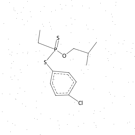 CCP(=S)(OCC(C)C)Sc1ccc(Cl)cc1